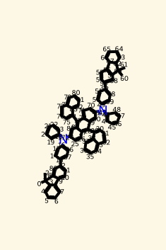 CC1(C)c2ccccc2-c2ccc(-c3ccc(N(c4ccccc4)c4ccc5c(-c6cccc7ccccc67)c6cc(N(c7ccccc7)c7ccc(-c8ccc9c(c8)C(C)(C)C8C=CC=CC98)cc7)ccc6c(-c6cccc7ccccc67)c5c4)cc3)cc21